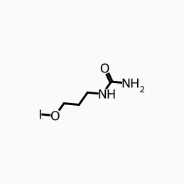 NC(=O)NCCCOI